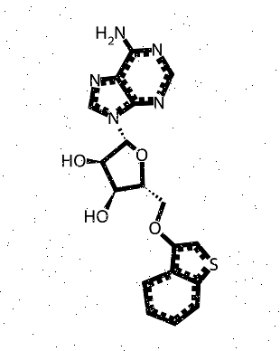 Nc1ncnc2c1ncn2[C@@H]1O[C@H](COc2csc3ccccc23)[C@@H](O)[C@H]1O